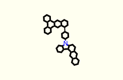 c1ccc2cc3c(ccc4c3c3ccccc3n4-c3ccc(-c4cccc5cc6c7ccccc7c7ccccc7c6cc45)cc3)cc2c1